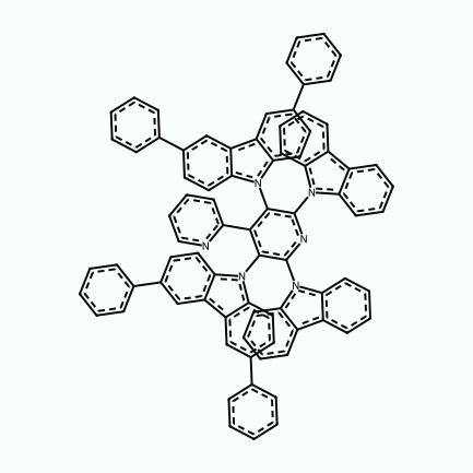 c1ccc(-c2ccc3c(c2)c2cc(-c4ccccc4)ccc2n3-c2c(-n3c4ccccc4c4ccccc43)nc(-n3c4ccccc4c4ccccc43)c(-n3c4ccc(-c5ccccc5)cc4c4cc(-c5ccccc5)ccc43)c2-c2ccccn2)cc1